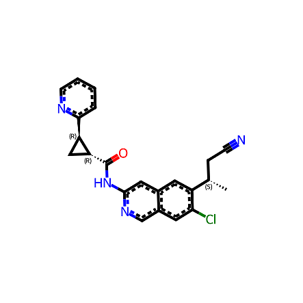 C[C@@H](CC#N)c1cc2cc(NC(=O)[C@@H]3C[C@H]3c3ccccn3)ncc2cc1Cl